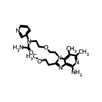 COCCc1nc2c(N)nc(C)c(C)c2n1CCOCCN(C(N)=O)c1cccnc1